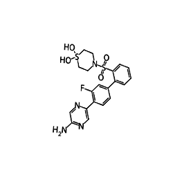 Nc1cnc(-c2ccc(-c3ccccc3S(=O)(=O)N3CCS(O)(O)CC3)cc2F)cn1